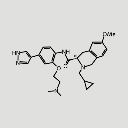 COc1ccc2c(c1)C[C@H](C(=O)Nc1ccc(-c3cn[nH]c3)cc1OCCN(C)C)N(CC1CC1)C2